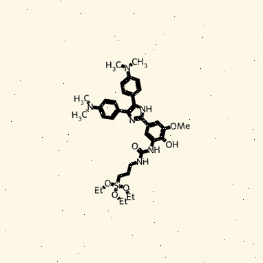 CCO[Si](CCCNC(=O)Nc1cc(-c2nc(-c3ccc(N(C)C)cc3)c(-c3ccc(N(C)C)cc3)[nH]2)cc(OC)c1O)(OCC)OCC